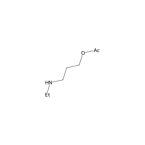 CCNCCCOC(C)=O